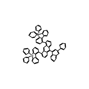 c1ccc(-c2cc(-c3c4cccc(-c5cccc6c5-c5ccccc5[Si]6(c5ccccc5)c5ccccc5)c4cc4c(-c5cccc6c5-c5ccccc5[Si]6(c5ccccc5)c5ccccc5)cccc34)c3ccccc3c2)cc1